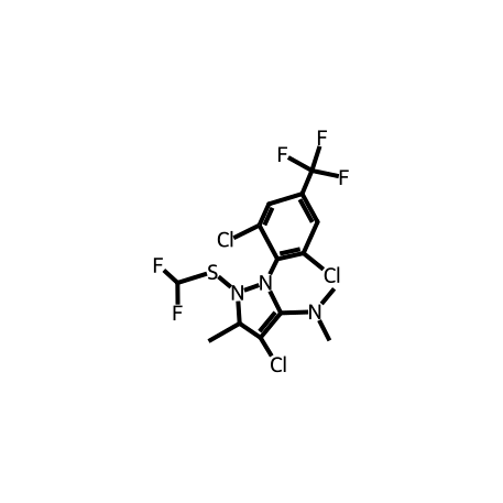 CC1C(Cl)=C(N(C)C)N(c2c(Cl)cc(C(F)(F)F)cc2Cl)N1SC(F)F